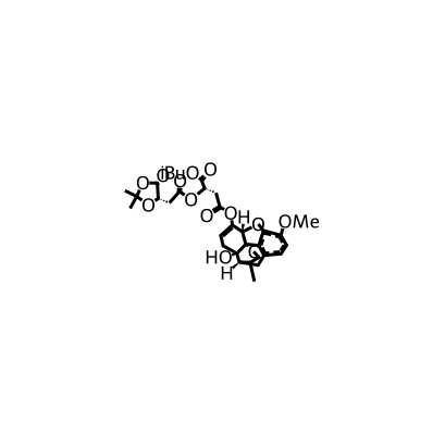 COc1ccc2c3c1O[C@H]1C(OC(=O)C[C@H](OC(=O)C[C@@H]4OC(C)(C)OC4=O)C(=O)OCC(C)C)=CC[C@@]4(O)[C@@H](C2)C(C)CC[C@]314